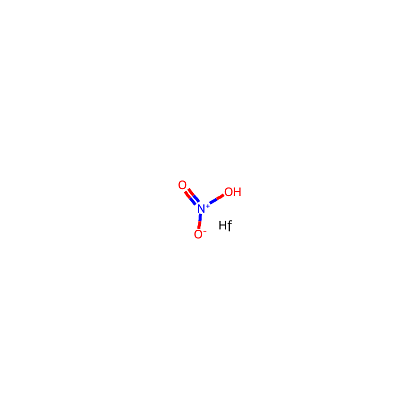 O=[N+]([O-])O.[Hf]